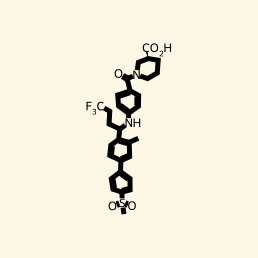 Cc1cc(-c2ccc(S(C)(=O)=O)cc2)ccc1C(CCC(F)(F)F)Nc1ccc(C(=O)N2CCC[C@@H](C(=O)O)C2)cc1